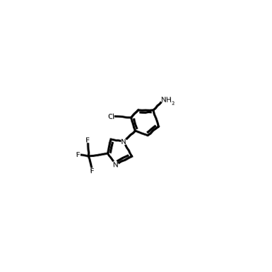 Nc1ccc(-n2cnc(C(F)(F)F)c2)c(Cl)c1